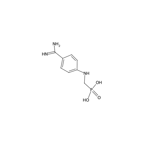 N=C(N)c1ccc(NCP(=O)(O)O)cc1